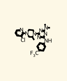 CC1CN(c2ncccc2Cl)CCN1c1nc(Nc2ccc(C(F)(F)F)cc2)nc(N(C)C)n1